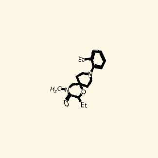 CCc1ccccc1N1CCC2(CC1)CN(C)C(=O)C(CC)O2